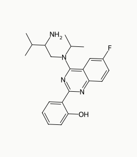 CC(C)C(N)CN(c1nc(-c2ccccc2O)nc2ccc(F)cc12)C(C)C